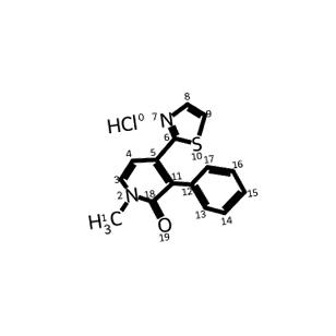 Cl.Cn1ccc(-c2nccs2)c(-c2ccccc2)c1=O